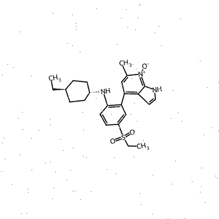 CCS(=O)(=O)c1ccc(N[C@H]2CC[C@H](CC)CC2)c(-c2cc(C)[n+]([O-])c3[nH]ccc23)c1